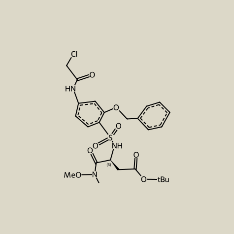 CON(C)C(=O)[C@H](CC(=O)OC(C)(C)C)NS(=O)(=O)c1ccc(NC(=O)CCl)cc1OCc1ccccc1